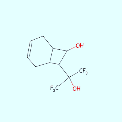 OC1C2CC=CCC2C1C(O)(C(F)(F)F)C(F)(F)F